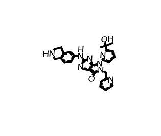 CC(C)(O)c1cccc(-n2c3nc(Nc4ccc5c(c4)CCNC5)ncc3c(=O)n2Cc2ccccn2)n1